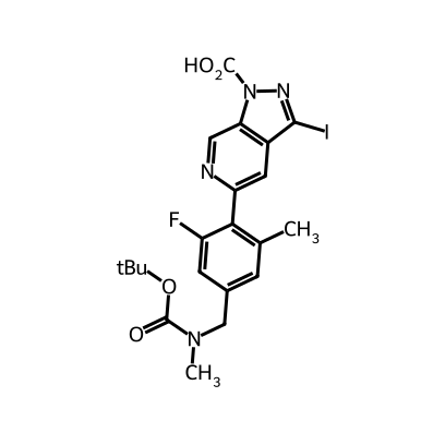 Cc1cc(CN(C)C(=O)OC(C)(C)C)cc(F)c1-c1cc2c(I)nn(C(=O)O)c2cn1